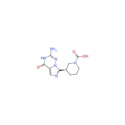 Nc1nn2c([C@@H]3CCCN(C(=O)O)C3)ncc2c(=O)[nH]1